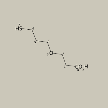 O=C(O)CCOCCCS